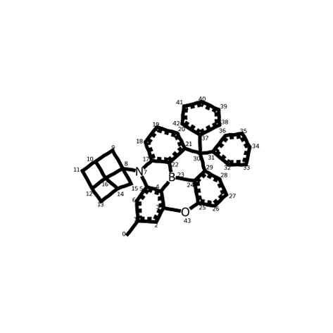 Cc1cc2c3c(c1)N(C14CC5CC6CC(C1)C654)c1cccc4c1B3c1c(cccc1C4(c1ccccc1)c1ccccc1)O2